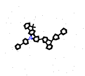 CC1(C)c2ccccc2-c2cc3c(cc21)c1cc(-c2ccc4c(c2)-c2ccccc2C4c2ccc(-c4ccccc4)cc2)ccc1n3-c1ccc(-c2ccccc2)cc1